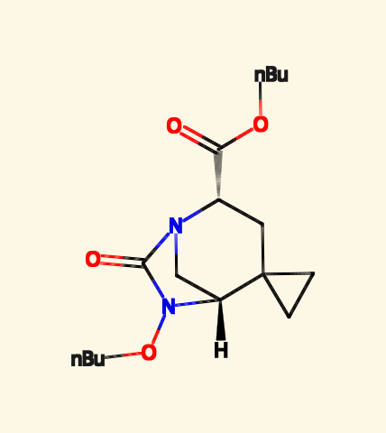 CCCCOC(=O)[C@@H]1CC2(CC2)[C@H]2CN1C(=O)N2OCCCC